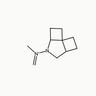 C=[N+](C)N1CC2CCC23CCC13